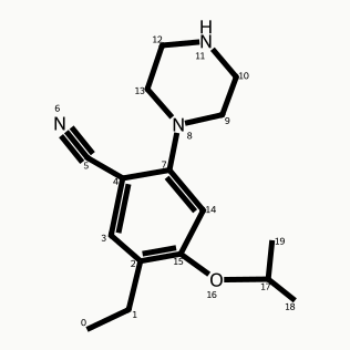 CCc1cc(C#N)c(N2CCNCC2)cc1OC(C)C